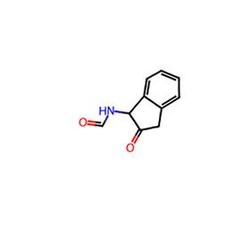 O=CNC1C(=O)Cc2ccccc21